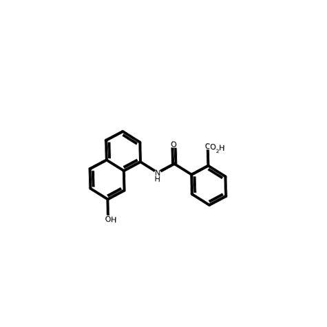 O=C(O)c1ccccc1C(=O)Nc1cccc2ccc(O)cc12